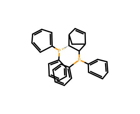 C1=CC2CC1C(P(c1ccccc1)c1ccccc1)[C@@H]2P(c1ccccc1)c1ccccc1